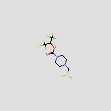 O=C(OC(C(F)(F)F)C(F)(F)F)N1CCN(CB(F)F)CC1